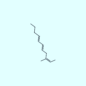 CC=C(C)CC=CC=CCCC